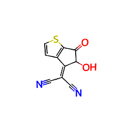 N#CC(C#N)=C1c2ccsc2C(=O)C1O